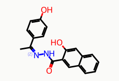 C/C(=N/NC(=O)c1cc2ccccc2cc1O)c1ccc(O)cc1